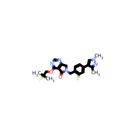 Cc1nn(C)cc1-c1ccc(CN2Cc3ncnc(OCC(C)(C)F)c3C2=O)c(F)c1